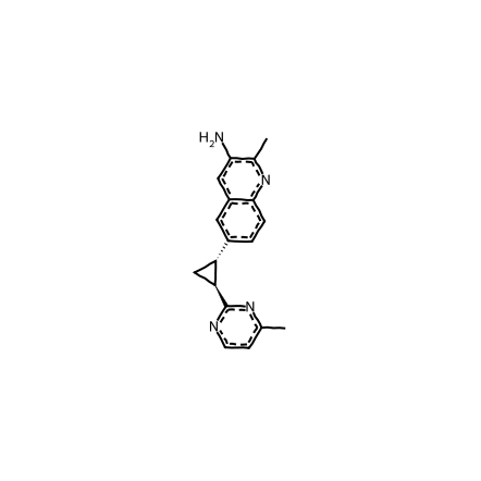 Cc1ccnc([C@H]2C[C@@H]2c2ccc3nc(C)c(N)cc3c2)n1